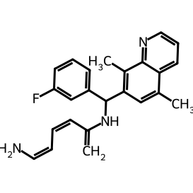 C=C(/C=C\C=C/N)NC(c1cccc(F)c1)c1cc(C)c2cccnc2c1C